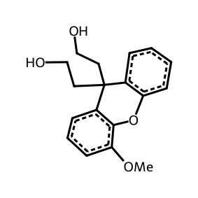 COc1cccc2c1Oc1ccccc1C2(CCO)CCO